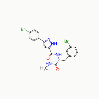 CNC(=O)C(Cc1cccc(Br)c1)NC(=O)c1cc(-c2ccc(Br)cc2)n[nH]1